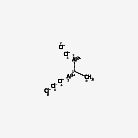 C[CH2][Al+2].[Al+3].[Cl-].[Cl-].[Cl-].[Cl-].[Cl-]